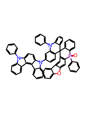 O=P1(c2ccccc2)c2ccccc2C2(c3ccccc3N(c3ccccc3)c3cc(-n4c5ccccc5c5c6c7ccccc7n(-c7ccccc7)c6ccc54)ccc32)c2cc3c(cc21)oc1ccccc13